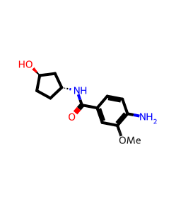 COc1cc(C(=O)N[C@@H]2CC[C@@H](O)C2)ccc1N